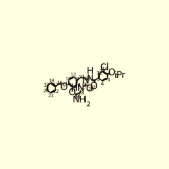 CC(C)Oc1ccc(C(=O)NN(Cc2ccc(OCc3ccccc3)cc2)C(=O)NCC(N)=O)cc1Cl